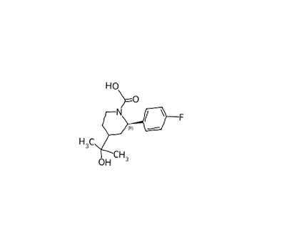 CC(C)(O)C1CCN(C(=O)O)[C@@H](c2ccc(F)cc2)C1